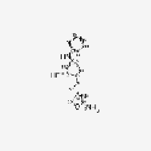 Cl.NC1=N[C@@H](CCc2ccc(Nc3ccncn3)cc2)CO1